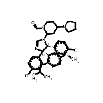 COc1ccc(OC(C)C)c([C@]2(c3ccc(Cl)cc3)N=CN(C3CC(N4CCCC4)CCN3C=O)[C@@H]2c2ccc(Cl)cc2)c1